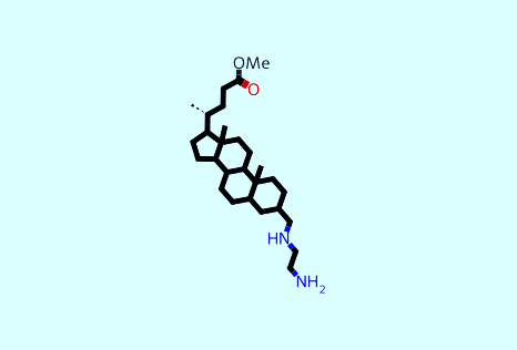 COC(=O)CC[C@@H](C)C1CCC2C3CCC4CC(CNCCN)CCC4(C)C3CCC21C